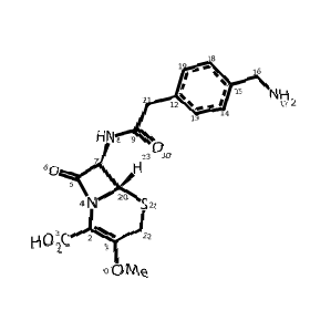 COC1=C(C(=O)O)N2C(=O)[C@@H](NC(=O)Cc3ccc(CN)cc3)[C@@H]2SC1